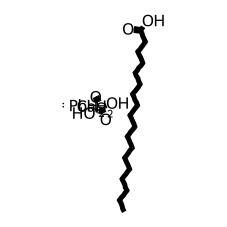 CCCCCCCCCCCCCCCCCC(=O)O.O=S(=O)(O)O.[CaH2].[PbH2]